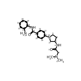 CN(C)CC(=O)NC1CCN(c2ccc(C(=O)Nc3ccccc3N)cc2)C1